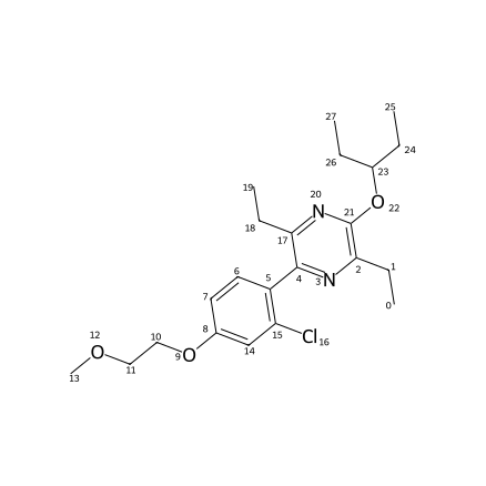 CCc1nc(-c2ccc(OCCOC)cc2Cl)c(CC)nc1OC(CC)CC